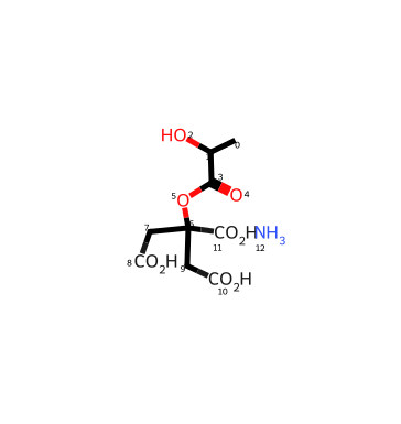 CC(O)C(=O)OC(CC(=O)O)(CC(=O)O)C(=O)O.N